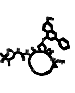 COc1ccc2c(O[C@@H]3C[C@H]4C(=O)N[C@]5(C(=O)O)CC5/C=C\CCCCC[C@H](NC(=O)N[C@H](CN(C)S(C)(=O)=O)C(C)(C)C)C(=O)N4C3)cc(-c3ccccc3)nc2c1